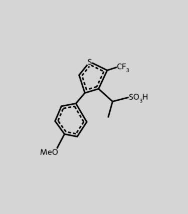 COc1ccc(-c2csc(C(F)(F)F)c2C(C)S(=O)(=O)O)cc1